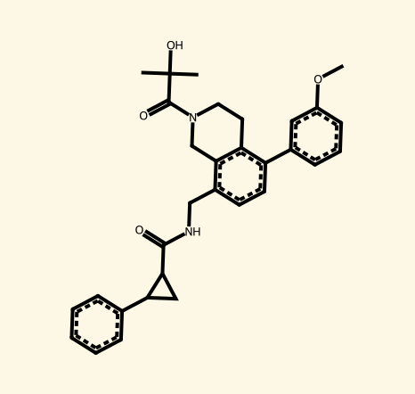 COc1cccc(-c2ccc(CNC(=O)C3CC3c3ccccc3)c3c2CCN(C(=O)C(C)(C)O)C3)c1